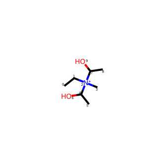 CC[N+](C)(C(C)O)C(C)O